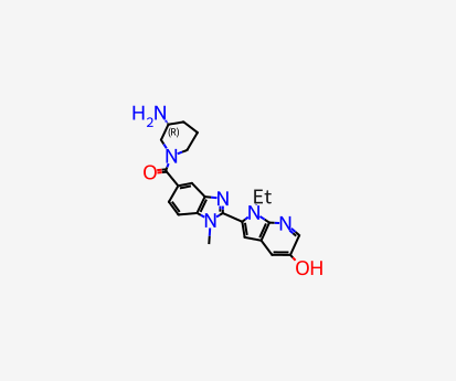 CCn1c(-c2nc3cc(C(=O)N4CCC[C@@H](N)C4)ccc3n2C)cc2cc(O)cnc21